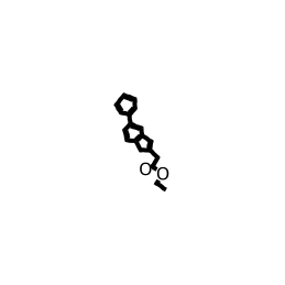 CCOC(=O)CC1=Cc2cc(-c3ccccc3)ccc2C1